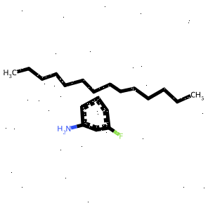 CCCCCCCCCCCCCC.Nc1cccc(F)c1